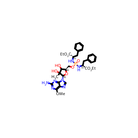 CCOC(=O)[C@H](Cc1ccccc1)NP(=O)(N[C@@H](Cc1ccccc1)C(=O)OCC)OC[C@H]1O[C@@H](n2cnc3c(OC)nc(N)nc32)C(C)(O)C1O